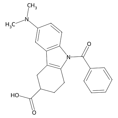 CN(C)c1ccc2c(c1)c1c(n2C(=O)c2ccccc2)CCC(C(=O)O)C1